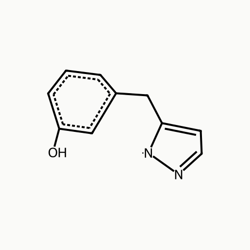 Oc1cccc(CC2=CC=N[N]2)c1